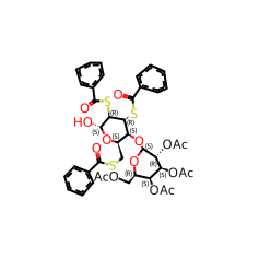 CC(=O)OC[C@H]1O[C@@H](O[C@@H]2[C@@H](SC(=O)c3ccccc3)[C@H](SC(=O)c3ccccc3)[C@@H](O)O[C@@H]2CSC(=O)c2ccccc2)[C@H](OC(C)=O)[C@@H](OC(C)=O)[C@H]1OC(C)=O